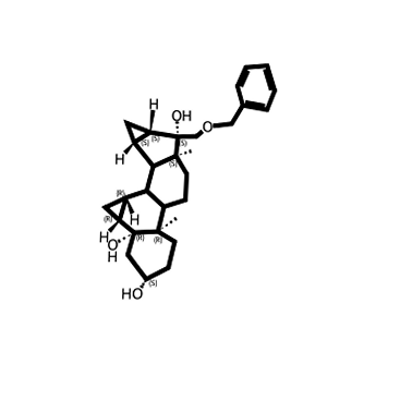 C[C@]12CCC3C(C1[C@@H]1C[C@@H]1[C@@]2(O)COCc1ccccc1)[C@H]1C[C@H]1[C@]1(O)C[C@@H](O)CC[C@]31C